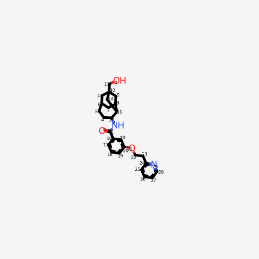 O=C(NC1CCC2CC3CC(CO)(C2)CC31)c1cccc(OCCc2ccccn2)c1